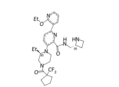 CCOc1ncccc1-c1ccc(N2CCN(C(=O)C3(C(F)(F)F)CCCC3)C[C@H]2CC)c(C(=O)NC[C@H]2CCN2)n1